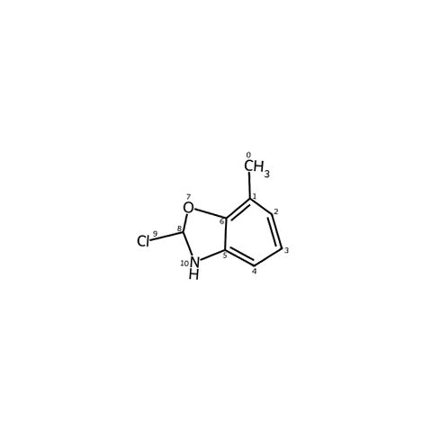 Cc1cccc2c1OC(Cl)N2